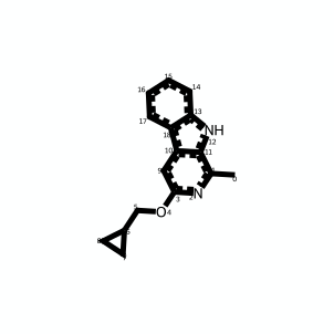 Cc1nc(OCC2CC2)cc2c1[nH]c1ccccc12